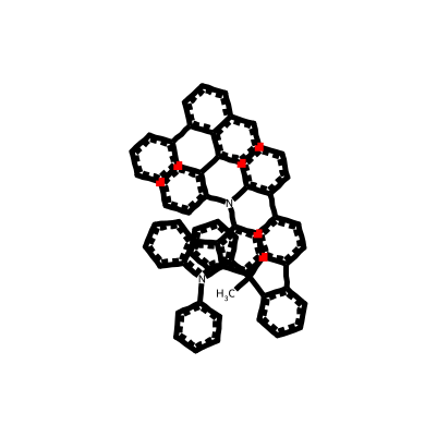 CC1(c2ccccc2)c2ccccc2-c2ccc(-c3ccccc3N(c3ccccc3-c3cccc4cccc(-c5ccccc5)c34)c3cccc4c3c3ccccc3n4-c3ccccc3)cc21